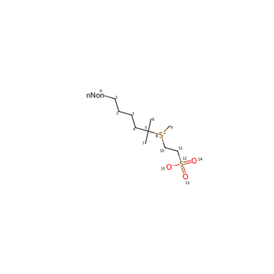 CCCCCCCCCCCCCC(C)(C)[S+](C)CCS(=O)(=O)[O-]